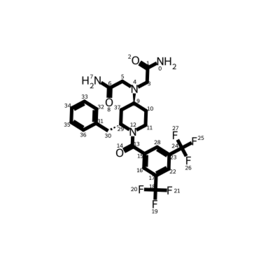 NC(=O)CN(CC(N)=O)[C@H]1CCN(C(=O)c2cc(C(F)(F)F)cc(C(F)(F)F)c2)[C@H](Cc2ccccc2)C1